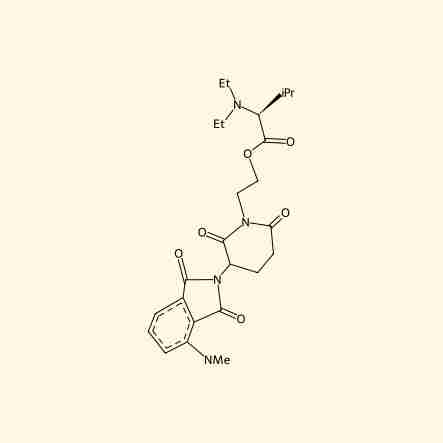 CCN(CC)[C@H](C(=O)OCCN1C(=O)CCC(N2C(=O)c3cccc(NC)c3C2=O)C1=O)C(C)C